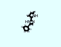 Cc1cc(C)c(-c2ncc(-c3ccccc3)[nH]2)[nH]1